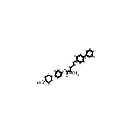 CCCC[C@H]1CC[C@H](c2ccc(OC(=O)C(C)CCCc3ccc(-c4ccccc4)cc3)cc2)CC1